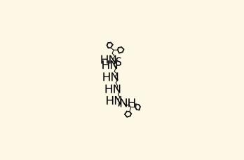 C=C(NCCCNCCCNCCCNC(=S)NCCC(c1ccccc1)c1ccccc1)NCCC(c1ccccc1)c1ccccc1